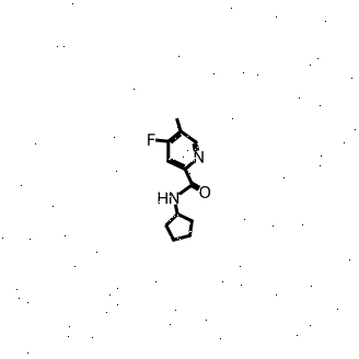 Cc1cnc(C(=O)NC2CCCC2)cc1F